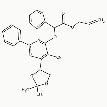 C=CCOC(=O)C(Oc1nc(-c2ccccc2)cc(C2COC(C)(C)O2)c1C#N)c1ccccc1